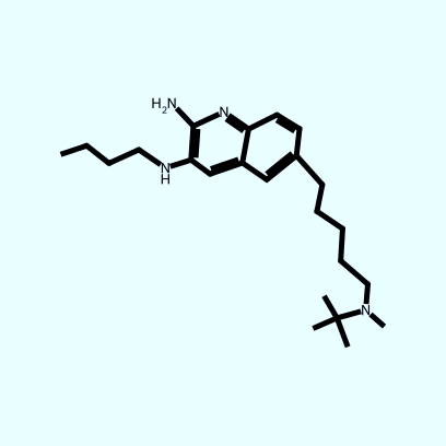 CCCCNc1cc2cc(CCCCCN(C)C(C)(C)C)ccc2nc1N